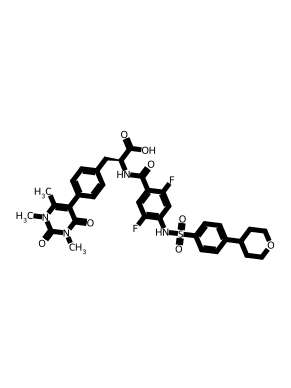 Cc1c(-c2ccc(C[C@H](NC(=O)c3cc(F)c(NS(=O)(=O)c4ccc(C5CCOCC5)cc4)cc3F)C(=O)O)cc2)c(=O)n(C)c(=O)n1C